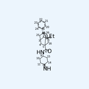 CC[C@]12CC3CC(C(=O)NC4CCC(=N)CC4)(C1)C[C@@](c1ccccc1)(C3)C2